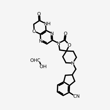 N#Cc1cccc2c1CC(CN1CCC3(CC1)CN(c1cnc4c(n1)NC(=O)CO4)C(=O)O3)C2.O=CO